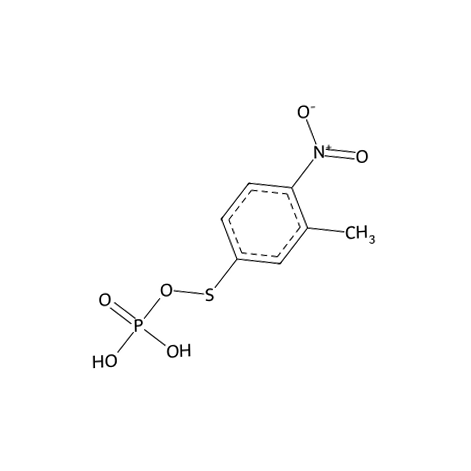 Cc1cc(SOP(=O)(O)O)ccc1[N+](=O)[O-]